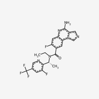 CCN(C(=O)c1cc2c(cc1F)nc(N)c1cncn12)[C@H](C)c1ncc(C(F)(F)F)cc1F